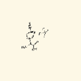 CC(C(=O)O)c1ccc([N+]#N)cc1.F[B-](F)(F)F